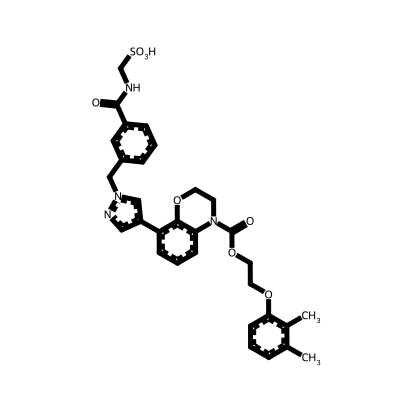 Cc1cccc(OCCOC(=O)N2CCOc3c(-c4cnn(Cc5cccc(C(=O)NCS(=O)(=O)O)c5)c4)cccc32)c1C